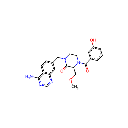 COC[C@H]1C(=O)N(Cc2ccc3c(N)ncnc3c2)CCN1C(=O)c1cccc(O)c1